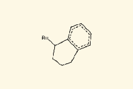 CCC(C)C1CCCc2ccccc21